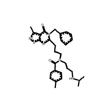 Cc1ccc(C(=O)N(CCCNC(C)C)CCCc2nc3snc(C)c3c(=O)n2Cc2ccccc2)cc1